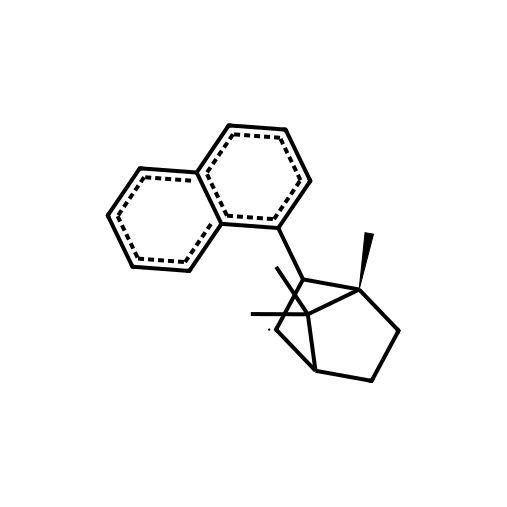 CC1(C)C2[CH]C(c3cccc4ccccc34)[C@]1(C)CC2